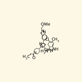 C=CC(=O)N1CCC(n2nc(-c3ccc4nn(CCOC)cc4c3)c([C@@H]3C(Cl)=C(C)C=C4NN=C(N)C43)c2C)CC1